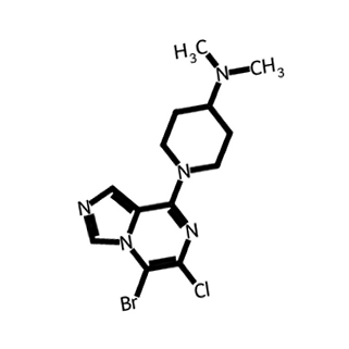 CN(C)C1CCN(c2nc(Cl)c(Br)n3cncc23)CC1